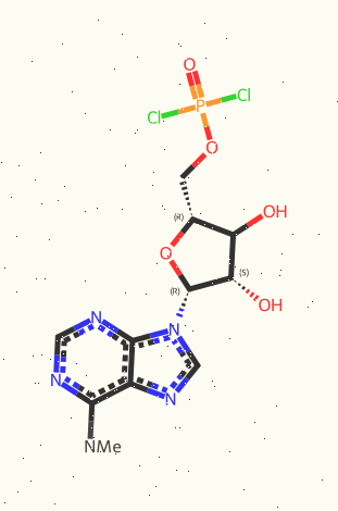 CNc1ncnc2c1ncn2[C@@H]1O[C@H](COP(=O)(Cl)Cl)C(O)[C@@H]1O